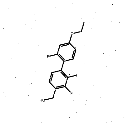 CCOc1ccc(-c2ccc(CO)c(F)c2F)c(F)c1